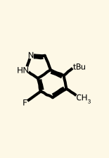 Cc1cc(F)c2[nH]ncc2c1C(C)(C)C